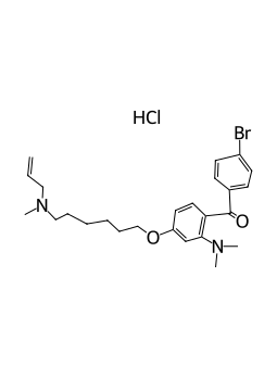 C=CCN(C)CCCCCCOc1ccc(C(=O)c2ccc(Br)cc2)c(N(C)C)c1.Cl